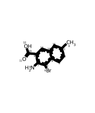 Cc1ccc2c(Br)c(N)c(C(=O)O)cc2c1